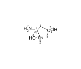 C[C@]1(O)COC[C@H]1N.Cl